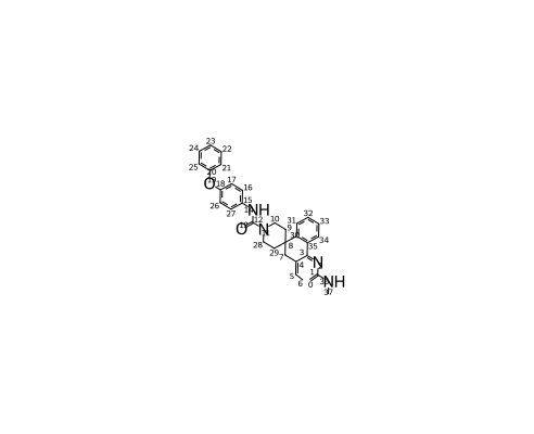 C=C(/N=C1\C(=C/C)CC2(CCN(C(=O)Nc3ccc(Oc4ccccc4)cc3)CC2)c2ccccc21)NC